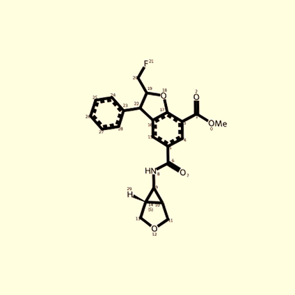 COC(=O)c1cc(C(=O)NC2C3COC[C@@H]32)cc2c1OC(CF)C2c1ccccc1